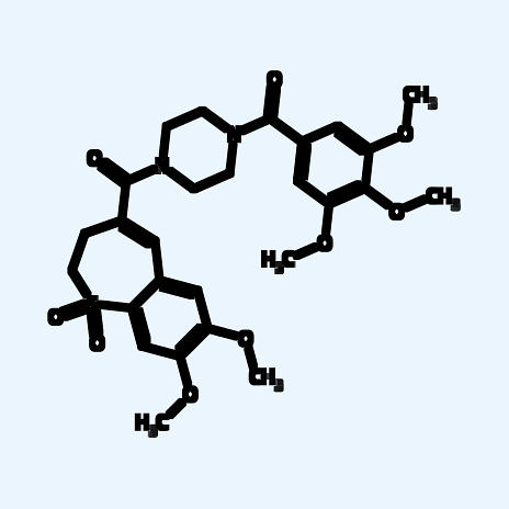 COc1cc2c(cc1OC)S(=O)(=O)CCC(C(=O)N1CCN(C(=O)c3cc(OC)c(OC)c(OC)c3)CC1)=C2